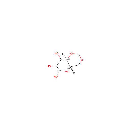 OC1C(O)[C@@H](O)O[C@H]2COCO[C@H]12